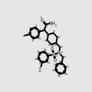 Cc1ccc(C(C(N)=O)C2CCC(CN(Cc3ccccc3)S(=O)(=O)c3cccc(F)c3)CC2)cc1